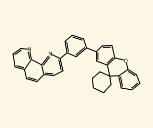 c1cc(-c2ccc3c(c2)C2(CCCCC2)c2ccccc2O3)cc(-c2ccc3ccc4cccnc4c3n2)c1